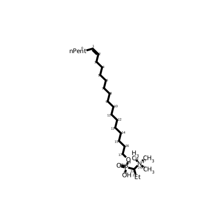 CCCCC/C=C\CCCCCCCCCCCCCCCOP(=O)(O)C(CC)[N+](C)(C)C